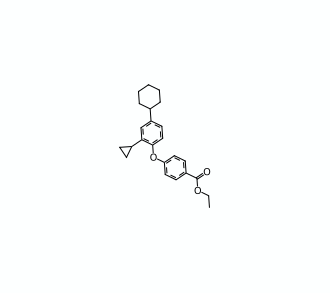 CCOC(=O)c1ccc(Oc2ccc(C3CCCCC3)cc2C2CC2)cc1